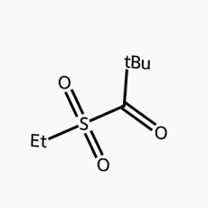 CCS(=O)(=O)C(=O)C(C)(C)C